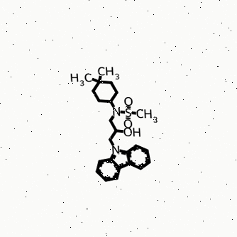 CC1(C)CCC(N(CC(O)Cn2c3ccccc3c3ccccc32)S(C)(=O)=O)CC1